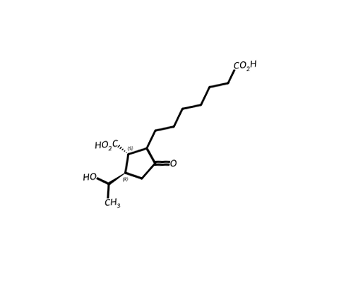 CC(O)[C@@H]1CC(=O)C(CCCCCCC(=O)O)[C@H]1C(=O)O